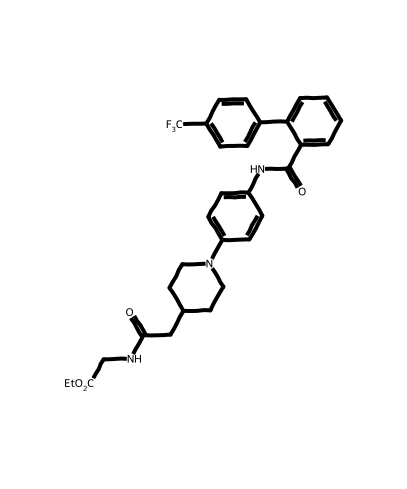 CCOC(=O)CNC(=O)CC1CCN(c2ccc(NC(=O)c3ccccc3-c3ccc(C(F)(F)F)cc3)cc2)CC1